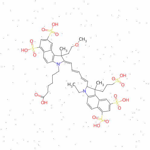 CCN1c2ccc3c(S(=O)(=O)O)cc(S(=O)(=O)O)cc3c2C(C)(CCCS(=O)(=O)O)C1C=CC=CC=C1N(CCCCCC(=O)O)c2ccc3c(S(=O)(=O)O)cc(S(=O)(=O)O)cc3c2C1(C)CCOC